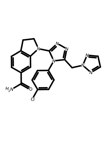 NC(=O)c1ccc2c(c1)N(c1nnc(Cn3nccn3)n1-c1ccc(Cl)cc1)CC2